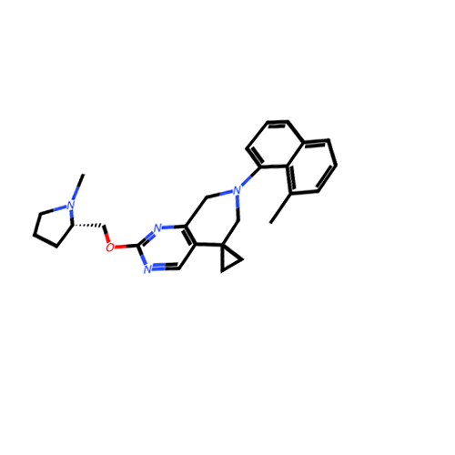 Cc1cccc2cccc(N3Cc4nc(OC[C@@H]5CCCN5C)ncc4C4(CC4)C3)c12